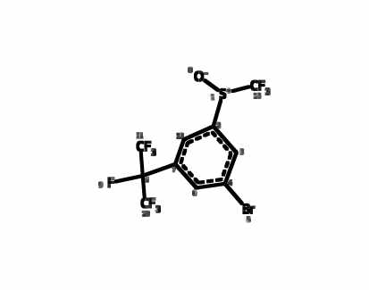 [O-][S+](c1cc(Br)cc(C(F)(C(F)(F)F)C(F)(F)F)c1)C(F)(F)F